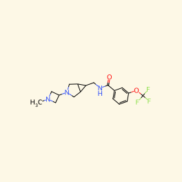 CN1CC(N2CC3C(CNC(=O)c4cccc(OC(F)(F)F)c4)C3C2)C1